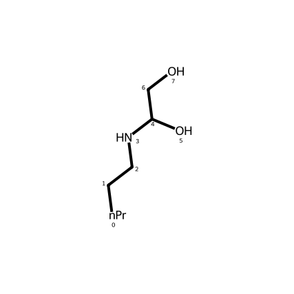 CCCCCNC(O)CO